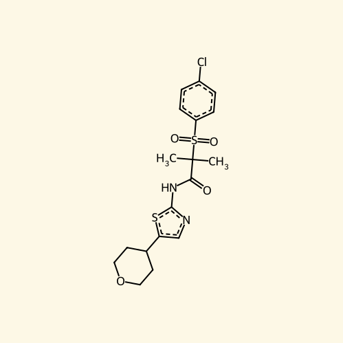 CC(C)(C(=O)Nc1ncc(C2CCOCC2)s1)S(=O)(=O)c1ccc(Cl)cc1